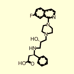 O=C(O)C[C@@H](NC[C@H](O)CN1CCN(c2nccc3ccc(F)cc23)CC1)c1ccccc1